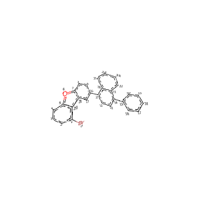 Brc1cccc2oc3ccc(-c4ccc(-c5ccccc5)c5ccccc45)cc3c12